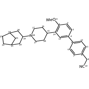 COc1ccc(-c2ccc(CC#N)cc2)cc1C1CCN(C2CC3CCC(C3)C2)CC1